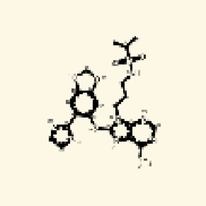 CC(C)S(=O)(=O)NCCCn1c(Sc2cc3c(cc2-c2nccs2)OCO3)nc2c(N)ncnc21